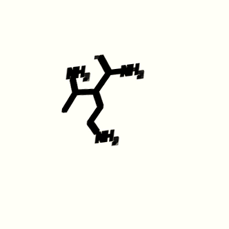 [CH2]C(N)C(CCN)C(C)N